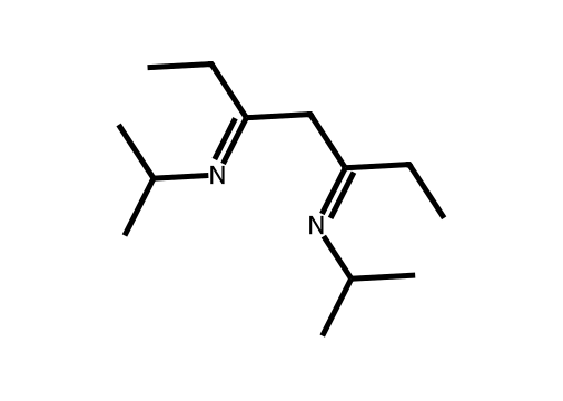 CCC(CC(CC)=NC(C)C)=NC(C)C